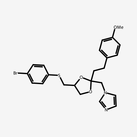 COc1ccc(CCC2(Cn3ccnc3)OCC(CSc3ccc(Br)cc3)O2)cc1